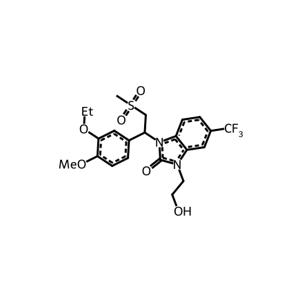 CCOc1cc(C(CS(C)(=O)=O)n2c(=O)n(CCO)c3cc(C(F)(F)F)ccc32)ccc1OC